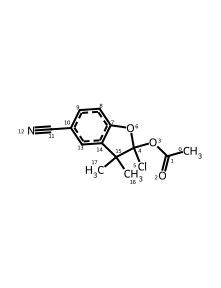 CC(=O)OC1(Cl)Oc2ccc(C#N)cc2C1(C)C